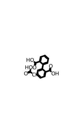 CC(=O)O.O=C(O)c1ccccc1-c1ccccc1C(=O)O